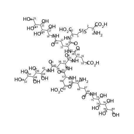 NC(CSSCC(NC(=O)C(CCC(=O)NCC(O)C(O)C(O)C(O)CO)NC(=O)C(CCC(=O)O)NC(=O)C(CCC(=O)NCC(O)C(O)C(O)C(O)CO)NC(=O)C(CCC(=O)O)NC(=O)C(N)CCC(=O)NCC(O)C(O)C(O)C(O)CO)C(=O)O)C(=O)O